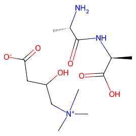 C[C@H](N)C(=O)N[C@@H](C)C(=O)O.C[N+](C)(C)CC(O)CC(=O)[O-]